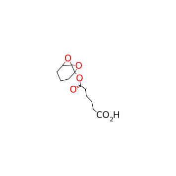 O=C(O)CCCCC(=O)OC12CCCC3OC31O2